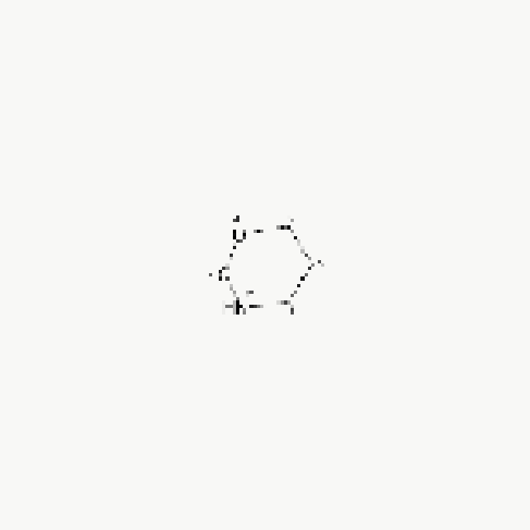 C1CNOOC1